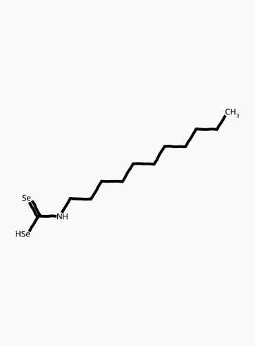 CCCCCCCCCCCNC(=[Se])[SeH]